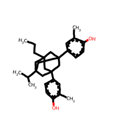 CCCC12CC3(c4ccc(O)c(C)c4)CC(c4ccc(O)c(C)c4)(C1)CC(C(C)C)(C2)C3